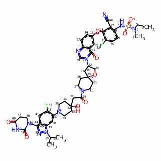 CCN(C)S(=O)(=O)Nc1ccc(F)c(Oc2ccc3ncn([C@H]4COC5(CCN(C(=O)CC6(O)CCN(c7cc8c(cc7F)c(N7CCC(=O)NC7=O)nn8C(C)C)CC6)CC5)C4)c(=O)c3c2)c1C#N